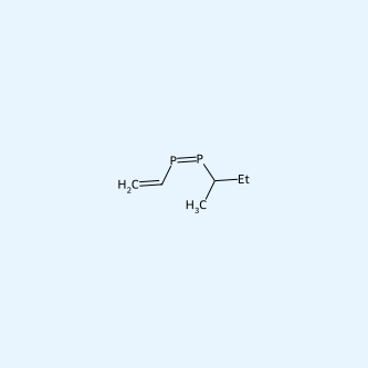 C=C/P=P\C(C)CC